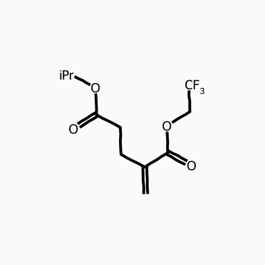 C=C(CCC(=O)OC(C)C)C(=O)OCC(F)(F)F